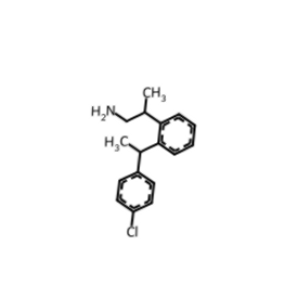 CC(CN)c1ccccc1C(C)c1ccc(Cl)cc1